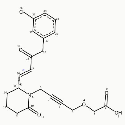 O=C(O)COCC#CCN1C(=O)CCC[C@@H]1/C=C/C(=O)Cc1cccc(Cl)c1